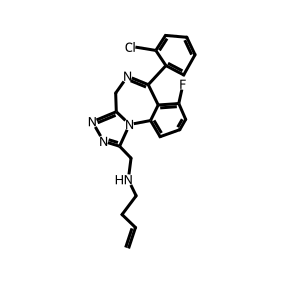 C=CCCNCc1nnc2n1-c1cccc(F)c1C(c1ccccc1Cl)=NC2